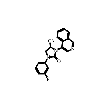 N#CC1CN(c2cccc(F)c2)C(=O)N1c1cncc2ccccc12